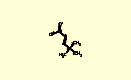 C[Si](C)(C)C=CC(=O)Cl